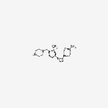 CN1CCN(Cc2ccc(N3C=CC3c3ccc(N)cc3)cc2C(F)(F)F)CC1